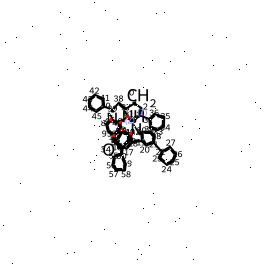 C=C(/C=C(\C(=C\c1ccccc1)n1c2ccccc2c2cc(-c3ccccc3)ccc21)c1ccccc1)C1=CC(c2ccccc2)=NC(c2ccc3c(c2)oc2ccccc23)N1